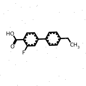 CCc1ccc(-c2ccc(C(=O)O)c(F)c2)cc1